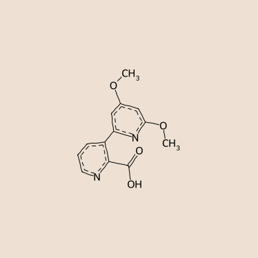 COc1cc(OC)nc(-c2cccnc2C(=O)O)c1